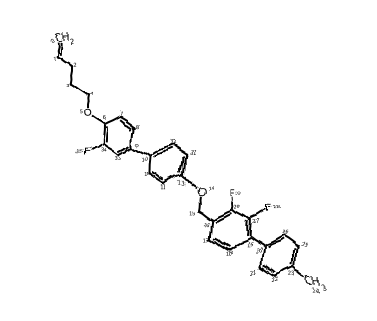 C=CCCCOc1ccc(-c2ccc(OCc3ccc(-c4ccc(C)cc4)c(F)c3F)cc2)cc1F